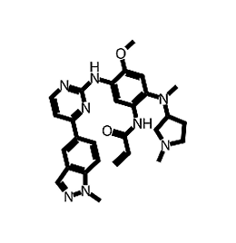 C=CC(=O)Nc1cc(Nc2nccc(-c3ccc4c(cnn4C)c3)n2)c(OC)cc1N(C)C1CCN(C)C1